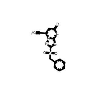 C#Cc1cc(=O)nc2sc(S(=O)(=O)Cc3ccccc3)nn12